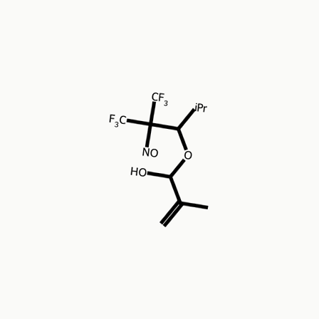 C=C(C)C(O)OC(C(C)C)C(N=O)(C(F)(F)F)C(F)(F)F